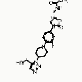 CC(=O)NC[C@H]1CN(c2ccc(N3CCC(n4nncc4CO)CC3)c(F)c2)C(=O)O1